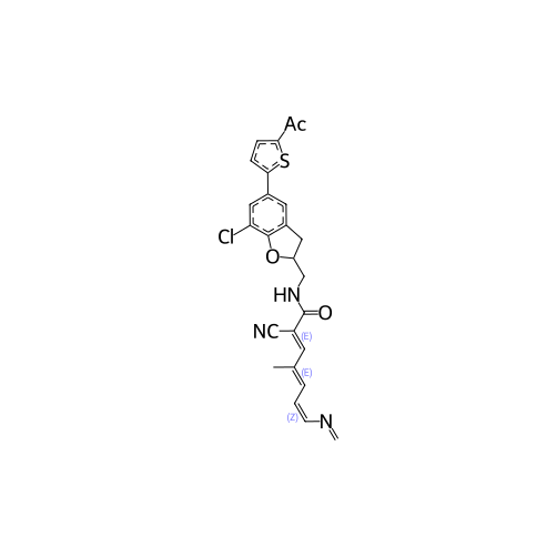 C=N\C=C/C=C(C)/C=C(\C#N)C(=O)NCC1Cc2cc(-c3ccc(C(C)=O)s3)cc(Cl)c2O1